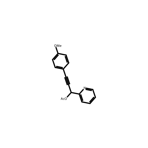 COc1ccc(C#CC(OC(C)=O)c2ccccn2)cc1